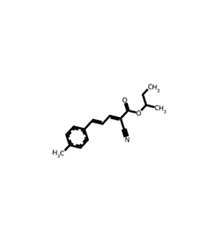 CCC(C)OC(=O)/C(C#N)=C/C=C/c1ccc(C)cc1